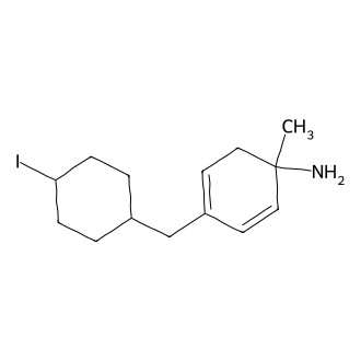 CC1(N)C=CC(CC2CCC(I)CC2)=CC1